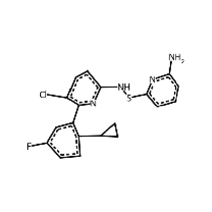 Nc1cccc(SNc2ccc(Cl)c(-c3cc(F)ccc3C3CC3)n2)n1